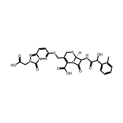 Cc1ccccc1C(O)C(=O)NC1C(=O)N2C(C(=O)O)=C(CSc3ccc4nn(CC(=O)O)c(=O)n4n3)CS[C@@H]12